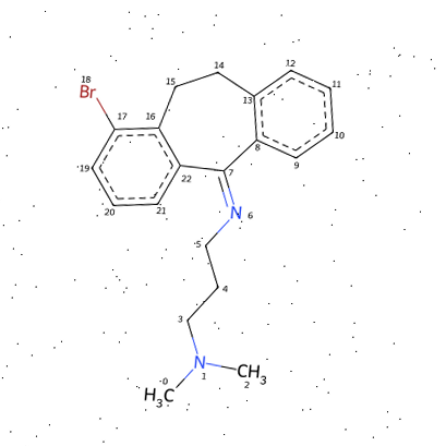 CN(C)CCC/N=C1/c2ccccc2CCc2c(Br)cccc21